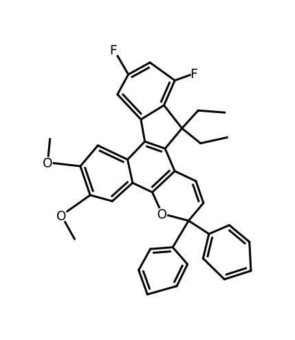 CCC1(CC)c2c(F)cc(F)cc2-c2c1c1c(c3cc(OC)c(OC)cc23)OC(c2ccccc2)(c2ccccc2)C=C1